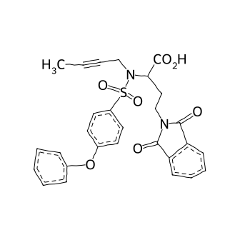 CC#CCN(C(CCN1C(=O)c2ccccc2C1=O)C(=O)O)S(=O)(=O)c1ccc(Oc2ccccc2)cc1